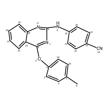 Cc1ccc(Oc2nc(Nc3ccc(C#N)cc3)nc3ccccc23)cc1